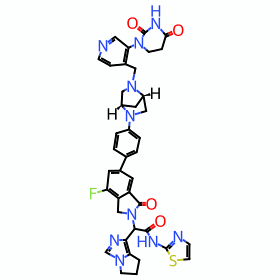 O=C1CCN(c2cnccc2CN2C[C@@H]3C[C@H]2CN3c2ccc(-c3cc(F)c4c(c3)C(=O)N(C(C(=O)Nc3nccs3)c3ncn5c3CCC5)C4)cc2)C(=O)N1